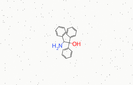 NC(c1ccccc1)C(O)(c1ccccc1)c1ccccc1